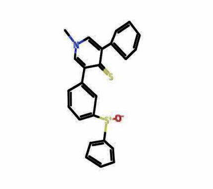 Cn1cc(-c2ccccc2)c(=S)c(-c2cccc([S+]([O-])c3ccccc3)c2)c1